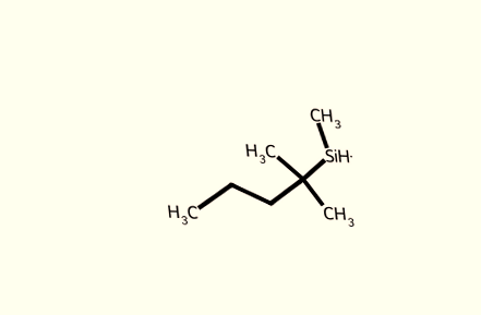 CCCC(C)(C)[SiH]C